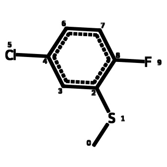 CSc1cc(Cl)ccc1F